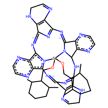 CC1CCCC(C)C1CO[Si]1(OCC2C(C)CCCC2C)N2/C3=N\C4=NC(=N\c5c6nccnc6c(n51)/N=C1\N=C(NC2c2nccnc23)C2=C1N=CCN2)/C1=C4N=CCN1